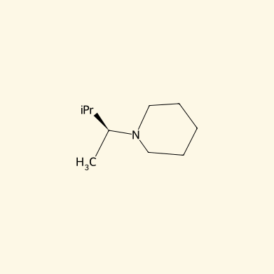 CC(C)[C@H](C)N1CCCCC1